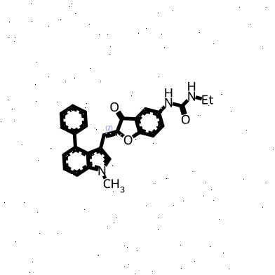 CCNC(=O)Nc1ccc2c(c1)C(=O)/C(=C/c1cn(C)c3cccc(-c4ccccc4)c13)O2